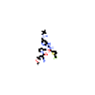 CCOC(C)(C)/C=C(\C#N)C(=O)N1CCCC1Cn1c(NC(=O)c2ccc(C(F)F)s2)nc2cc(CNCC(C)(C)C)cnc21